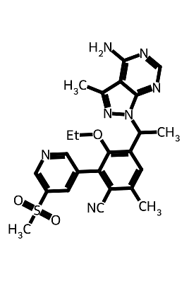 CCOc1c(C(C)n2nc(C)c3c(N)ncnc32)cc(C)c(C#N)c1-c1cncc(S(C)(=O)=O)c1